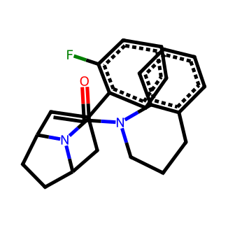 O=C(N1CCCc2ccccc21)N1C2C=C(c3ccccc3F)CC1CC2